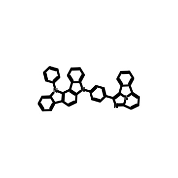 c1ccc(-n2c3ccccc3c3ccc4c(c5ccccc5n4-c4ccc(-c5nc6cccc7c8ccccc8c5n67)cc4)c32)cc1